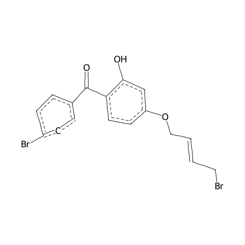 O=C(c1ccc(Br)cc1)c1ccc(OCC=CCBr)cc1O